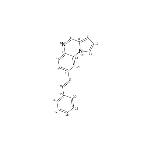 C(=Cc1ccc2ncc3cccn3c2c1)c1ccccc1